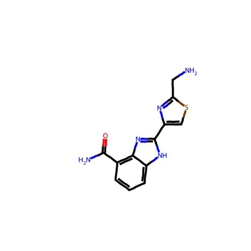 NCc1nc(-c2nc3c(C(N)=O)cccc3[nH]2)cs1